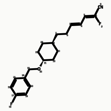 N#C/C(F)=C/C=C/CC[C@H]1CC[C@H](OCc2ccc(F)cc2)CC1